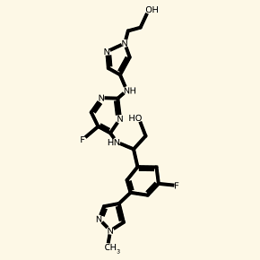 Cn1cc(-c2cc(F)cc(C(CO)Nc3nc(Nc4cnn(CCO)c4)ncc3F)c2)cn1